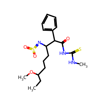 CCC(CCCC(N=S(=O)=O)C(C(=O)NC(=S)NC)c1ccccc1)OC